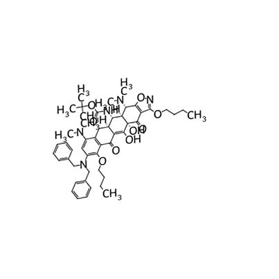 CCCCOc1noc2c1C(=O)[C@@]1(O)C(O)=C3C(=O)c4c(c(N(C)C)cc(N(Cc5ccccc5)Cc5ccccc5)c4OCCCC)C[C@H]3[C@H](NC(=O)OC(C)(C)C)[C@H]1[C@@H]2N(C)C